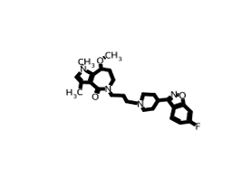 COC1CCN(CCCN2CCC(c3noc4cc(F)ccc34)CC2)C(=O)c2c(C)cn(C)c21